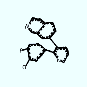 Fc1ccc(-c2ncccc2-c2ccc3ccncc3c2)cc1Cl